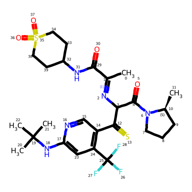 C/C(=N\C(C(=O)N1CCC[C@@H]1C)C(=S)c1cnc(NC(C)(C)C)cc1C(F)(F)F)C(=O)NC1CCS(=O)(=O)CC1